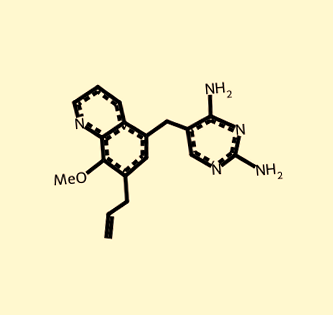 C=CCc1cc(Cc2cnc(N)nc2N)c2cccnc2c1OC